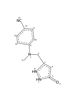 CN(Cc1cc(=O)[nH][nH]1)c1ccc(C#N)cc1